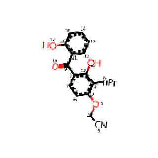 CCCc1c(OCC#N)ccc(C(=O)c2ccccc2O)c1O